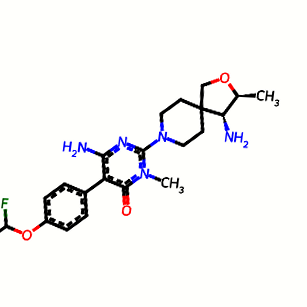 C[C@@H]1OCC2(CCN(c3nc(N)c(-c4ccc(OC(F)F)cc4)c(=O)n3C)CC2)[C@@H]1N